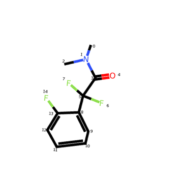 CN(C)C(=O)C(F)(F)c1ccccc1F